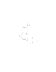 CCOC(C)Sc1ncnc2ccc(Br)cc12